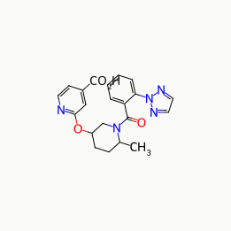 CC1CCC(Oc2cc(C(=O)O)ccn2)CN1C(=O)c1ccccc1-n1nccn1